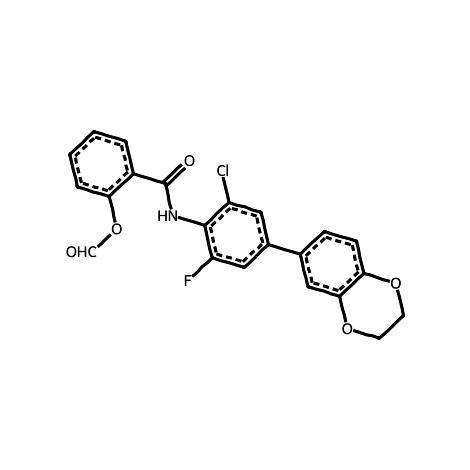 O=COc1ccccc1C(=O)Nc1c(F)cc(-c2ccc3c(c2)OCCO3)cc1Cl